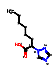 CCCCCCC(C(=O)O)n1cncn1